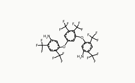 Nc1cc(Oc2cc(Oc3cc(N)c(C(F)(F)F)cc3C(F)(F)F)c(C(F)(F)F)c(C(F)(F)F)c2)c(C(F)(F)F)cc1C(F)(F)F